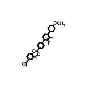 COC1CCC(c2ccc(-c3ccc(C(=O)Oc4ccc(C5CO5)cc4F)cc3)c(F)c2F)CC1